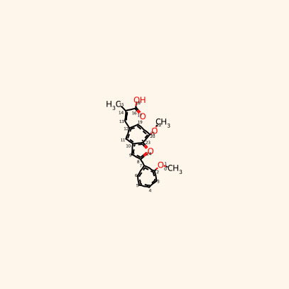 COc1ccccc1-c1cc2cc(C=C(C)C(=O)O)cc(OC)c2o1